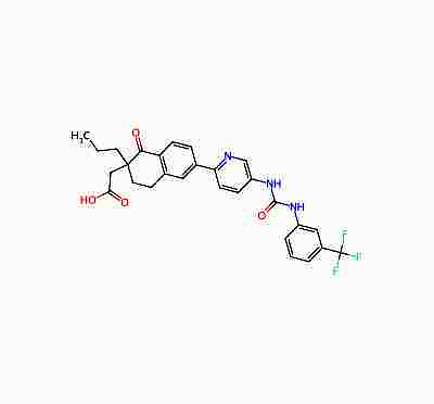 CCCC1(CC(=O)O)CCc2cc(-c3ccc(NC(=O)Nc4cccc(C(F)(F)F)c4)cn3)ccc2C1=O